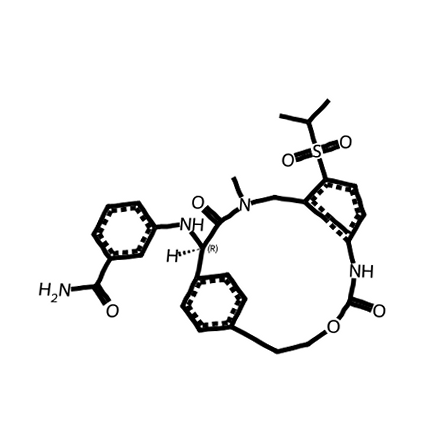 CC(C)S(=O)(=O)c1ccc2cc1CN(C)C(=O)[C@H](Nc1cccc(C(N)=O)c1)c1ccc(cc1)CCOC(=O)N2